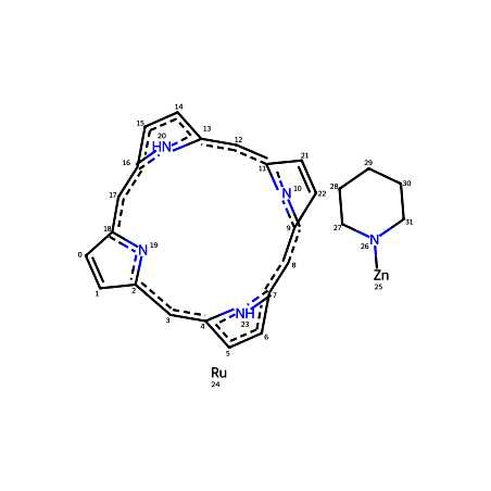 C1=Cc2cc3ccc(cc4nc(cc5ccc(cc1n2)[nH]5)C=C4)[nH]3.[Ru].[Zn][N]1CCCCC1